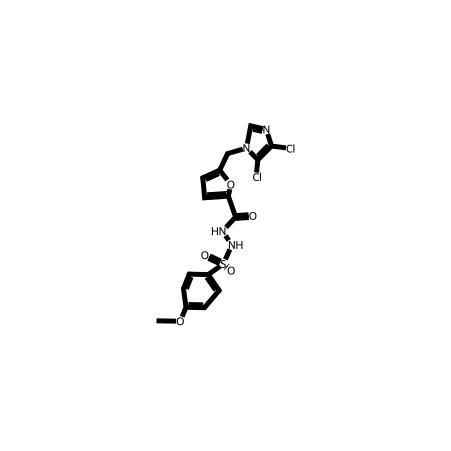 COc1ccc(S(=O)(=O)NNC(=O)c2ccc(Cn3cnc(Cl)c3Cl)o2)cc1